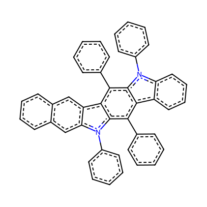 c1ccc(-c2c3c4cc5ccccc5cc4n(-c4ccccc4)c3c(-c3ccccc3)c3c4ccccc4n(-c4ccccc4)c23)cc1